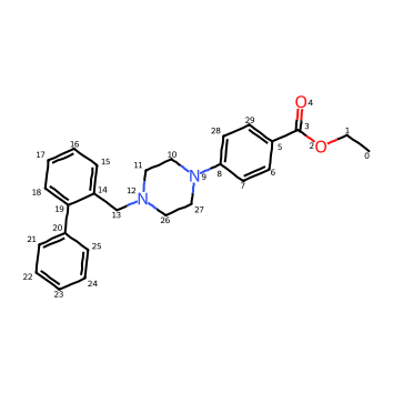 CCOC(=O)c1ccc(N2CCN(Cc3ccccc3-c3ccccc3)CC2)cc1